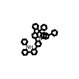 c1ccc(Nc2ccccc2-c2cccc(-c3ccc4c(c3)c3ccc5c(c3n4-c3ccc(-c4ccccc4)cc3)C(c3ccccc3)(c3ccccc3)c3ccccc3-5)c2)cc1